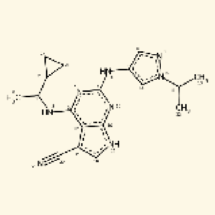 CC(Nc1nc(Nc2cnn(C(C)C)c2)nc2[nH]cc(C#N)c12)C1CC1